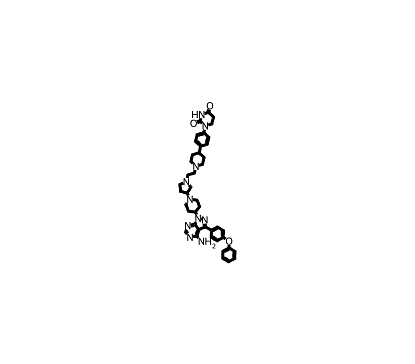 Nc1ncnc2c1c(-c1ccc(Oc3ccccc3)cc1)nn2C1CCN(C2CCN(CCN3CCC(c4ccc(N5CCC(=O)NC5=O)cc4)CC3)C2)CC1